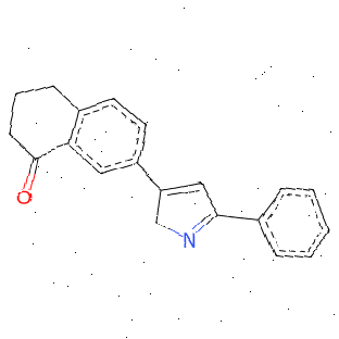 O=C1CCCc2ccc(C3=CC(c4ccccc4)=NC3)cc21